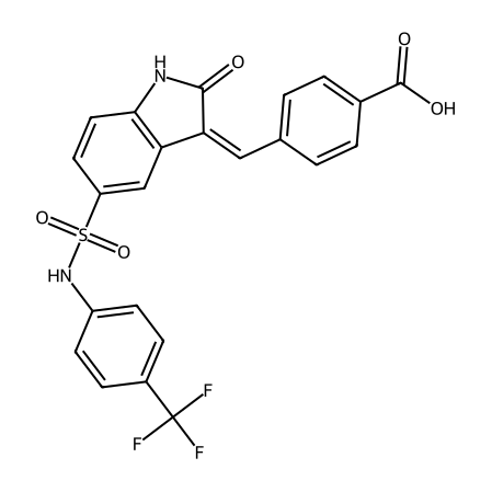 O=C1Nc2ccc(S(=O)(=O)Nc3ccc(C(F)(F)F)cc3)cc2C1=Cc1ccc(C(=O)O)cc1